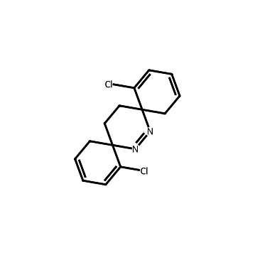 ClC1=CC=CCC12CCC1(CC=CC=C1Cl)N=N2